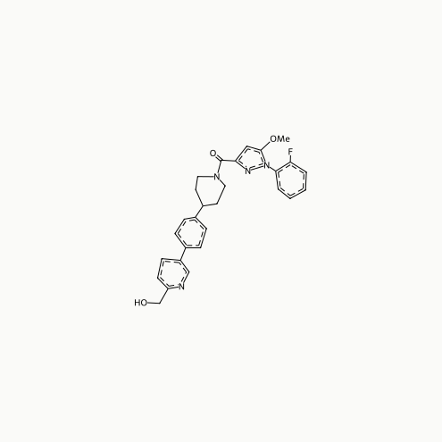 COc1cc(C(=O)N2CCC(c3ccc(-c4ccc(CO)nc4)cc3)CC2)nn1-c1ccccc1F